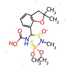 COP(=S)(OC)N(C)[S+]([O-])C(NC(=O)O)c1cccc2c1OC(C)(C)C2